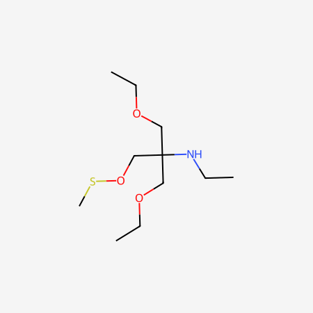 CCNC(COCC)(COCC)COSC